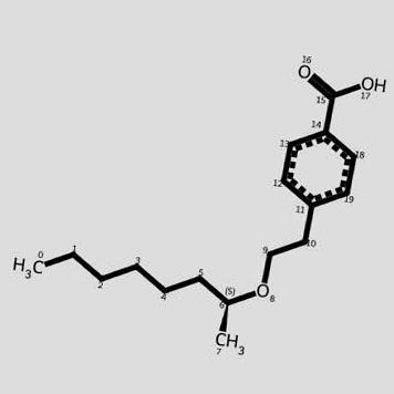 CCCCCC[C@H](C)OCCc1ccc(C(=O)O)cc1